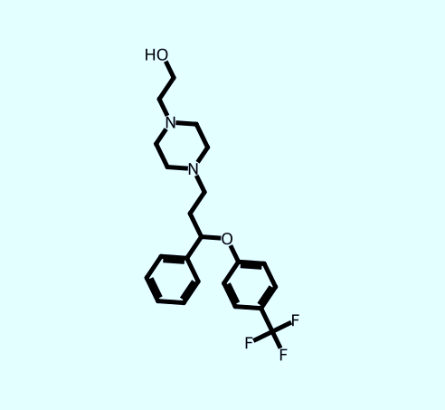 OCCN1CCN(CCC(Oc2ccc(C(F)(F)F)cc2)c2ccccc2)CC1